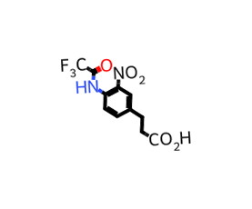 O=C(O)CCc1ccc(NC(=O)C(F)(F)F)c([N+](=O)[O-])c1